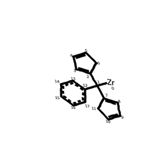 [Zr][C](C1=CC=CC1)(C1=CC=CC1)c1ccccc1